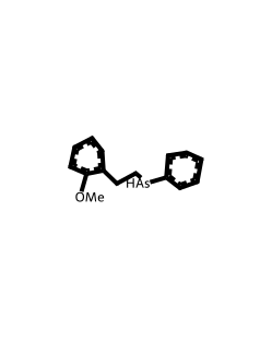 COc1ccccc1CC[AsH]c1ccccc1